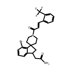 NC(=O)CC1CC2(CCN(C(=O)/C=C/c3ccccc3C(F)(F)F)CC2)c2c(Br)cccc21